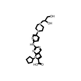 O=C(O)c1cc2cnc(Nc3ccc(N4CCN(CC(O)CO)CC4)cn3)nc2n1C1CCCC1